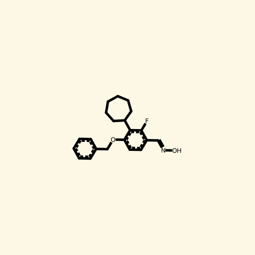 ON=Cc1ccc(OCc2ccccc2)c(C2CCCCCC2)c1F